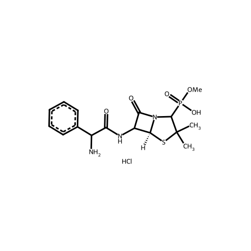 COP(=O)(O)C1N2C(=O)C(NC(=O)C(N)c3ccccc3)[C@@H]2SC1(C)C.Cl